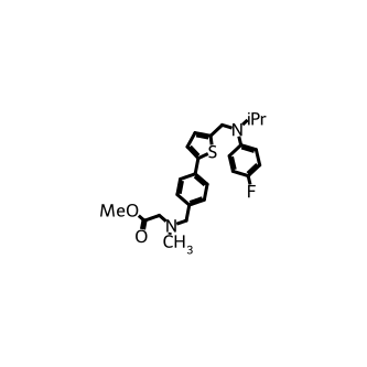 COC(=O)CN(C)Cc1ccc(-c2ccc(CN(c3ccc(F)cc3)C(C)C)s2)cc1